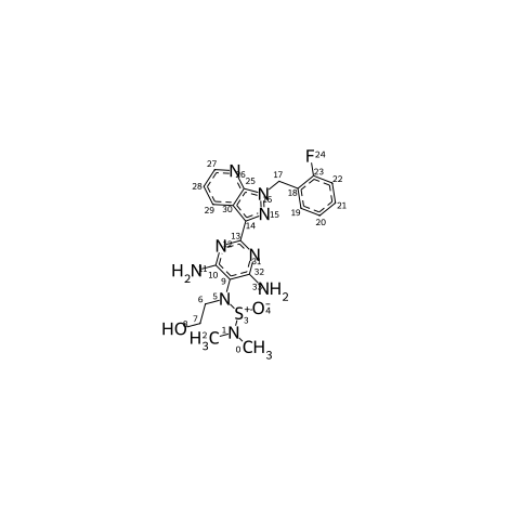 CN(C)[S+]([O-])N(CCO)c1c(N)nc(-c2nn(Cc3ccccc3F)c3ncccc23)nc1N